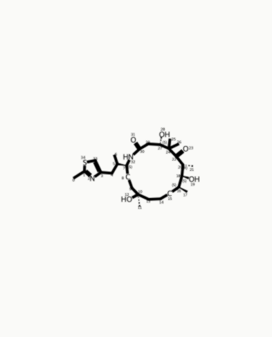 Cc1nc(CC(C)[C@@H]2CC[C@](C)(O)CCC[C@H](C)[C@H](O)[C@@H](C)C(=O)C(C)(C)[C@@H](O)CC(=O)N2)cs1